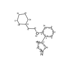 c1ccc(-c2c[nH]cn2)c(OCCC2CCCCC2)c1